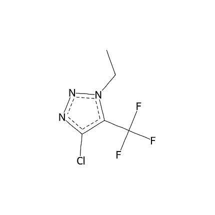 CCn1nnc(Cl)c1C(F)(F)F